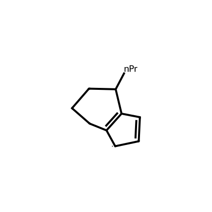 CCCC1CCCC2=C1C=C[CH]2